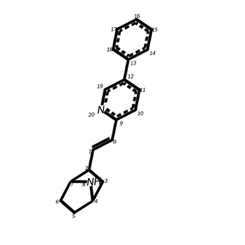 C(=CC1CC2CCC1N2)c1ccc(-c2ccccc2)cn1